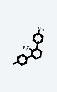 Cc1ccc(C2=CC[CH]C(c3ccc(C(F)(F)F)cc3)=C2C(F)(F)F)cc1